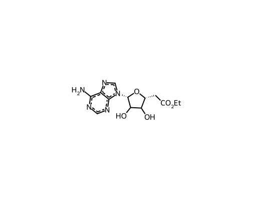 CCOC(=O)C[C@H]1O[C@@H](n2cnc3c(N)ncnc32)C(O)C1O